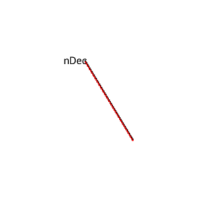 C=CC=CCCCCCCCCCCCCCCCCCCCCCCCCCCCCCCCCCCCCCCCCCCCCCCCCCCCCCCCCCCCCCCCCCCCCCCCCCCCCCCCCCCCCCCCCCCCCCCCC